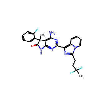 CC1(c2ccccc2F)C(=O)Nc2nc(-c3nc(CCC(F)(F)C(F)(F)F)n4ccccc34)nc(N)c21